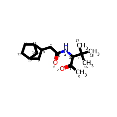 CC(=O)C(NC(=O)CC1CC2CCC1C2)C(C)(C)C